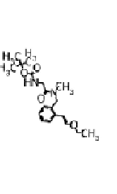 CCOC=Cc1ccccc1CN(C)C(=O)CNC(=O)OC(C)(C)C